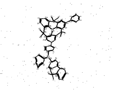 CC1(C)C2=CC(c3ccc(N(c4ccccc4)c4ccc5c(c4)C(C)(C)c4ccccc4-5)cc3)CC3=C2N2c4c1cc(-c1ccccc1)cc4C(C)(C)c1cccc(c12)C3(C)C